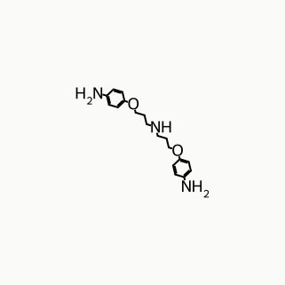 Nc1ccc(OCCCNCCCOc2ccc(N)cc2)cc1